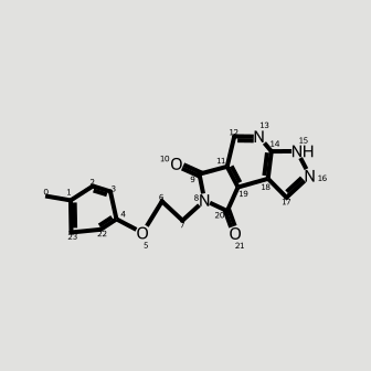 Cc1ccc(OCCN2C(=O)c3cnc4[nH]ncc4c3C2=O)cc1